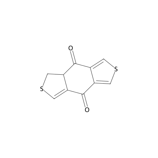 O=C1C2=CSCC2C(=O)c2cscc21